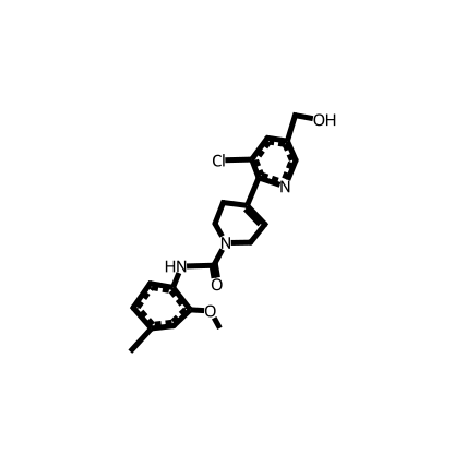 COc1cc(C)ccc1NC(=O)N1CC=C(c2ncc(CO)cc2Cl)CC1